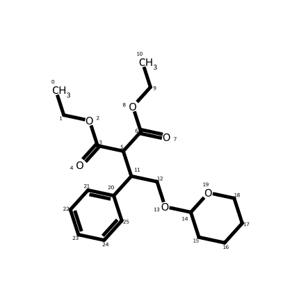 CCOC(=O)C(C(=O)OCC)C(COC1CCCCO1)c1ccccc1